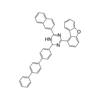 c1ccc(-c2ccc(-c3ccc(C4N=C(c5cccc6oc7ccccc7c56)N=C(c5ccc6ccccc6c5)N4)cc3)cc2)cc1